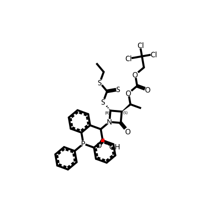 CCSC(=S)S[C@@H]1[C@@H](C(C)OC(=O)OCC(Cl)(Cl)Cl)C(=O)N1C(C(=O)O)c1ccccc1P(c1ccccc1)c1ccccc1